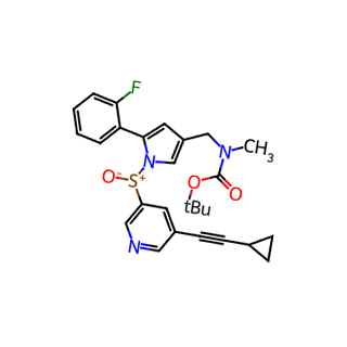 CN(Cc1cc(-c2ccccc2F)n([S+]([O-])c2cncc(C#CC3CC3)c2)c1)C(=O)OC(C)(C)C